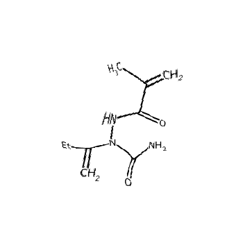 C=C(C)C(=O)NN(C(=C)CC)C(N)=O